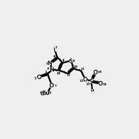 CC(C)(C)OC(=O)n1nc(I)c2sc(COS(C)(=O)=O)cc21